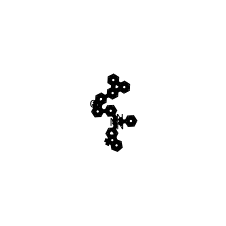 CC1(C)C2=C(C=C(c3nc(-c4ccccc4)nc(-c4cccc(-c5cccc6oc7ccc(-c8ccc9c%10ccccc%10c%10ccccc%10c9c8)cc7c56)c4)n3)CC2)c2ccccc21